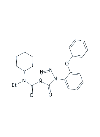 CCN(C(=O)n1nnn(-c2ccccc2Oc2ccccc2)c1=O)C1CCCCC1